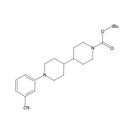 CC(C)(C)OC(=O)N1CCC(C2CCN(c3cccc(C#N)c3)CC2)CC1